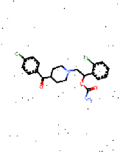 NC(=O)OC(CN1CCC(C(=O)c2ccc(Cl)cc2)CC1)c1ccccc1Cl